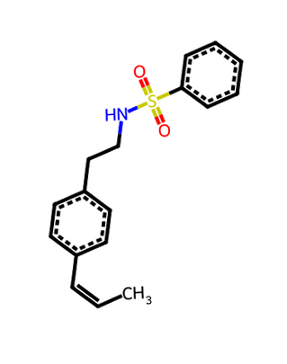 C/C=C\c1ccc(CCNS(=O)(=O)c2ccccc2)cc1